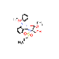 C=CCS(=O)(=O)N(Cc1ccccc1N)C(CO)C(=O)OC.COc1ccccc1